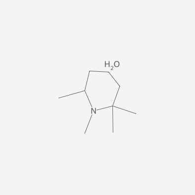 CC1CCCC(C)(C)N1C.O